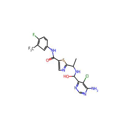 CC(NC(O)c1ncnc(N)c1Cl)c1ncc(C(=O)Nc2ccc(F)c(C(F)(F)F)c2)s1